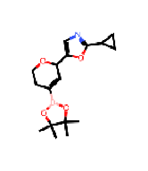 CC1(C)OB(C2=CC(c3cnc(C4CC4)o3)OCC2)OC1(C)C